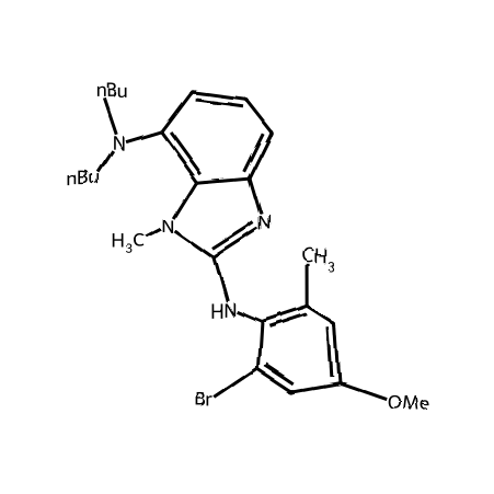 CCCCN(CCCC)c1cccc2nc(Nc3c(C)cc(OC)cc3Br)n(C)c12